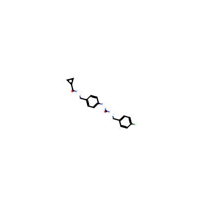 O=C(NCc1ccc(Cl)cc1)Nc1ccc(CNC(=O)C2CC2)cc1